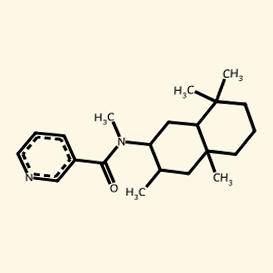 CC1CC2(C)CCCC(C)(C)C2CC1N(C)C(=O)c1cccnc1